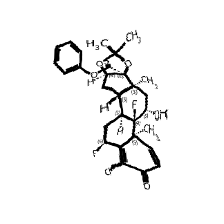 CC1(C)O[C@@H]2C[C@H]3[C@@H]4C[C@H](F)C5=C(Cl)C(=O)C=C[C@]5(C)[C@@]4(F)[C@@H](O)C[C@]3(C)[C@]2(C(=S)Oc2ccccc2)O1